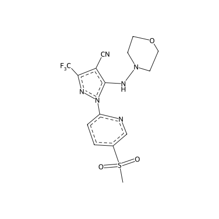 CS(=O)(=O)c1ccc(-n2nc(C(F)(F)F)c(C#N)c2NN2CCOCC2)nc1